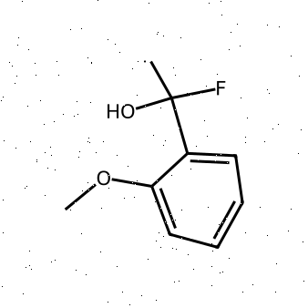 [CH2]C(O)(F)c1ccccc1OC